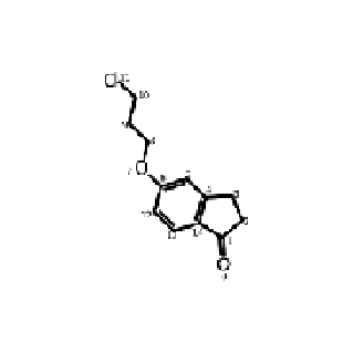 O=C1CCc2cc(OCCCCl)ccc21